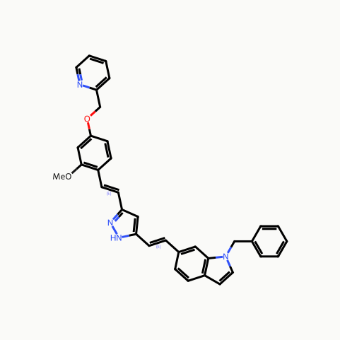 COc1cc(OCc2ccccn2)ccc1/C=C/c1cc(/C=C/c2ccc3ccn(Cc4ccccc4)c3c2)[nH]n1